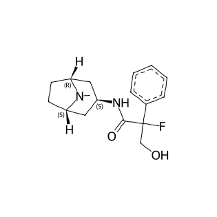 CN1[C@@H]2CC[C@H]1C[C@H](NC(=O)C(F)(CO)c1ccccc1)C2